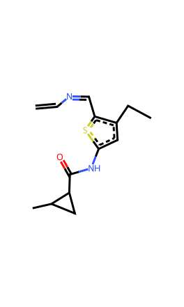 C=C/N=C\c1sc(NC(=O)C2CC2C)cc1CC